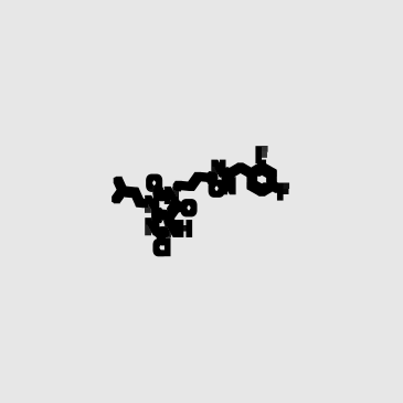 CC(C)=CCn1c(=O)n(CCCc2nc(Cc3ccc(F)cc3F)no2)c(=O)c2[nH]c(Cl)nc21